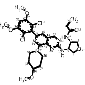 C=CC(=O)N[C@H]1COC[C@H]1Nc1ncc2cc(-c3c(Cl)c(OC)cc(OC)c3Cl)nc(N3CCC(OC)CC3)c2n1